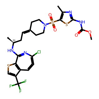 COC(=O)Nc1nc(C)c(S(=O)(=O)N2CCC(=CC[C@H](C)NC3=NC(Cl)=C=Cc4c(C(F)(F)F)csc43)CC2)s1